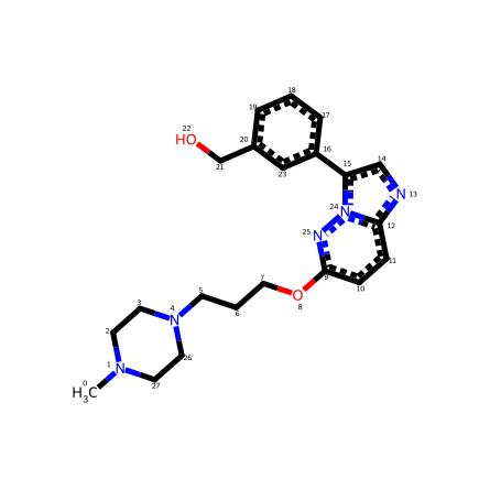 CN1CCN(CCCOc2ccc3ncc(-c4cccc(CO)c4)n3n2)CC1